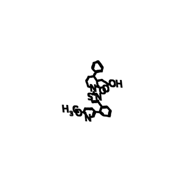 COc1ccc(-c2ccccc2-c2csc(N3CCCC(c4ccccc4)C(CC(=O)O)C3=O)n2)cn1